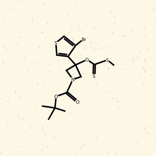 CSC(=S)OC1(c2cscc2Br)CN(C(=O)OC(C)(C)C)C1